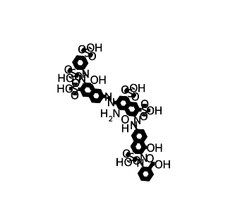 Nc1c(N=Nc2ccc3cc(S(=O)(=O)O)c(N=Nc4cc(S(=O)(=O)O)ccc4S(=O)(=O)O)c(O)c3c2)cc(S(=O)(=O)O)c2cc(S(=O)(=O)O)c(N=Nc3ccc4c(O)c(N=Nc5ccccc5C(=O)O)c(S(=O)(=O)O)cc4c3)c(O)c12